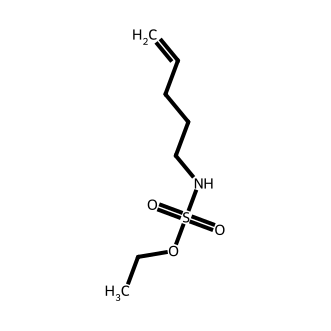 C=CCCCNS(=O)(=O)OCC